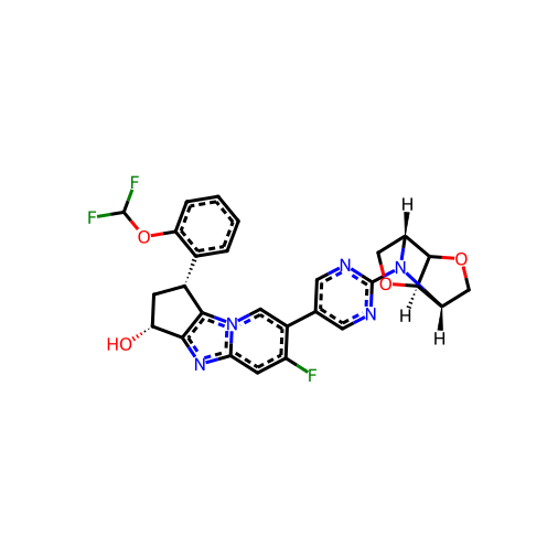 O[C@@H]1C[C@H](c2ccccc2OC(F)F)c2c1nc1cc(F)c(-c3cnc(N4[C@@H]5CO[C@H]6C5OC[C@H]64)nc3)cn21